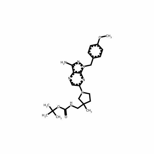 COc1ccc(Cn2nc(N)c3ncc(N4CCC(C)(CNC(=O)OC(C)(C)C)C4)nc32)cc1